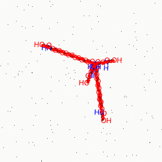 O=C(CCCCCO)NCCOCCCC(=O)NCC(CNC(=O)CCCOCCNC(=O)CCCCCO)(CNC(=O)CCOCCOCCOCCOCCOCCOCCOCCOCCOCCOCCOCCOCCNC(=O)CCCCCO)CNC(=O)CCOCCOCCOCCOCCOCCOCCOCCOCCOCCOCCOCCOCCNC(=O)CCCCCO